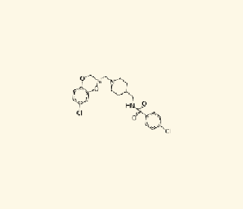 O=S(=O)(NCC1CCN(C[C@H]2COc3ccc(Cl)cc3O2)CC1)c1ccc(Cl)cc1